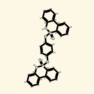 O=P1(Oc2ccc(OP3(=O)Oc4ccccc4-c4ccccc43)cc2)Oc2ccccc2-c2ccccc21